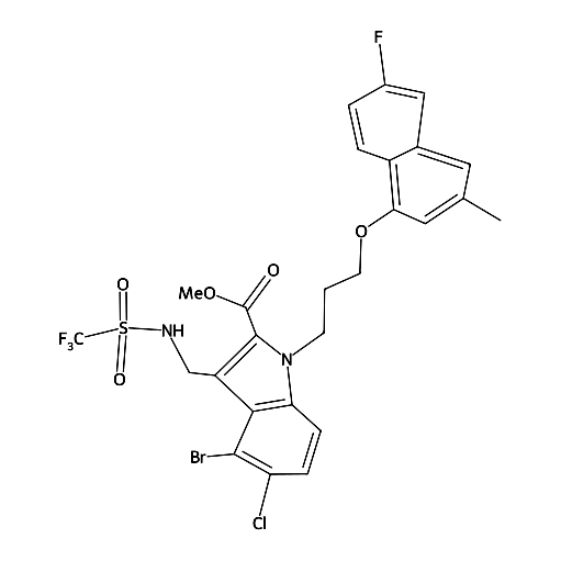 COC(=O)c1c(CNS(=O)(=O)C(F)(F)F)c2c(Br)c(Cl)ccc2n1CCCOc1cc(C)cc2cc(F)ccc12